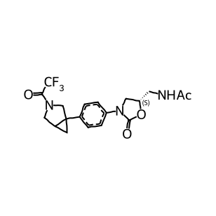 CC(=O)NC[C@H]1CN(c2ccc(C34CC3CN(C(=O)C(F)(F)F)C4)cc2)C(=O)O1